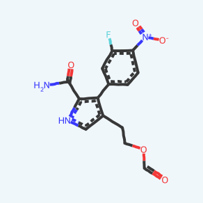 NC(=O)c1[nH]cc(CCOC=O)c1-c1ccc([N+](=O)[O-])c(F)c1